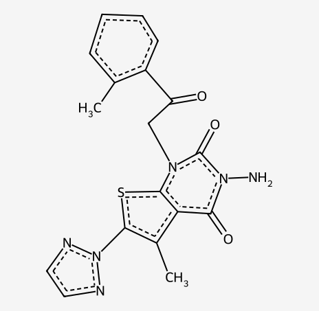 Cc1ccccc1C(=O)Cn1c(=O)n(N)c(=O)c2c(C)c(-n3nccn3)sc21